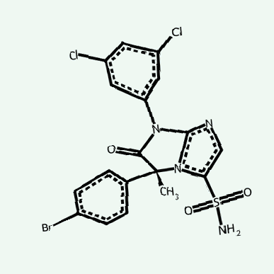 C[C@@]1(c2ccc(Br)cc2)C(=O)N(c2cc(Cl)cc(Cl)c2)c2ncc(S(N)(=O)=O)n21